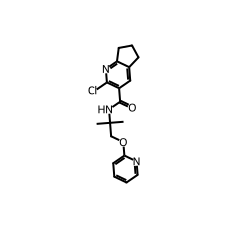 CC(C)(COc1ccccn1)NC(=O)c1cc2c(nc1Cl)CCC2